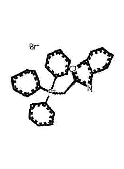 [Br-].c1ccc([P+](Cc2nc3ccccc3o2)(c2ccccc2)c2ccccc2)cc1